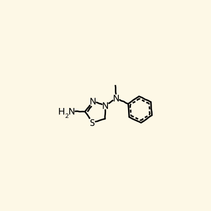 CN(c1ccccc1)N1CSC(N)=N1